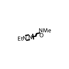 CCN1CCN(C(C)(C)C=CC(=O)NC)CC1